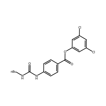 CCCCNC(=O)Nc1ccc(C(=O)Oc2cc(Cl)cc(Cl)c2)cc1